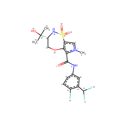 Cn1cc2c(c1C(=O)Nc1ccc(F)c(C(F)F)c1)OC[C@H](C(C)(C)O)NS2(=O)=O